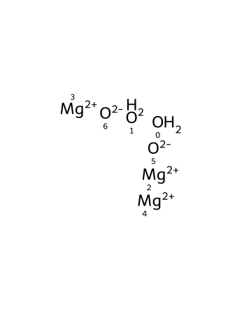 O.O.[Mg+2].[Mg+2].[Mg+2].[O-2].[O-2]